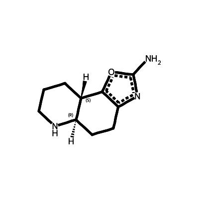 Nc1nc2c(o1)[C@H]1CCCN[C@@H]1CC2